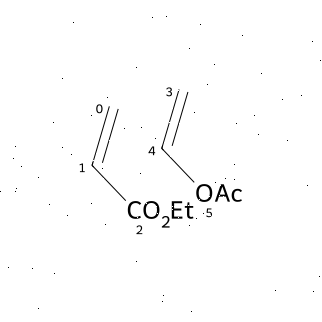 C=CC(=O)OCC.C=COC(C)=O